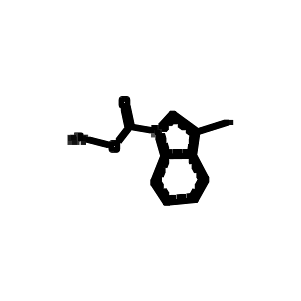 [CH2]c1cn(C(=O)OCCC)c2ccccc12